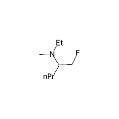 CCCC(CF)N(C)CC